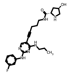 CCCNc1nc(Nc2cccc(F)c2)ncc1C#CCCCNC(=O)[C@@H]1C[C@@H](O)CN1